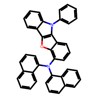 c1ccc(-n2c3ccccc3c3oc4c(N(c5cccc6ccccc56)c5cccc6ccccc56)cccc4c32)cc1